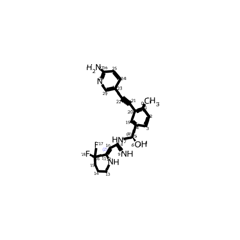 Cc1ccc([C@@H](O)NC(=N)/C=C2\NCCCC2(F)F)cc1C#Cc1ccc(N)nc1